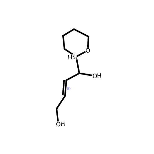 OC/C=C/C(O)[SiH]1CCCCO1